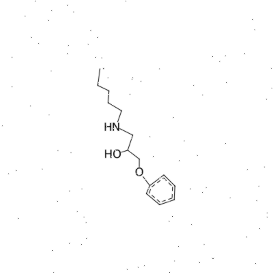 [CH2]CCCCNCC(O)COc1ccccc1